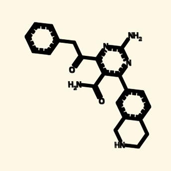 NC(=O)c1c(C(=O)Cc2ccccc2)nc(N)nc1-c1ccc2c(c1)CNCC2